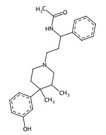 CC(=O)NC(CCN1CCC(C)(c2cccc(O)c2)C(C)C1)c1ccccc1